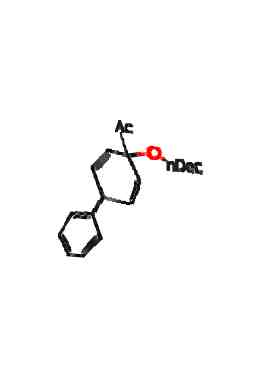 CCCCCCCCCCOC1(C(C)=O)C=CC(c2ccccc2)C=C1